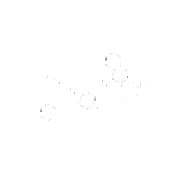 CC(C)(C)OC(=O)Nc1cc2ccccc2c(N2CCc3c(ncnc3N3CCN(C(=O)O)C(Cc4ccccc4)C3)C2)n1